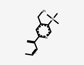 C=C(/C=C\C)c1cc(CC(C)C)c([Si](C)(C)C)cn1